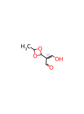 CC1OC(/C(C=O)=C/O)O1